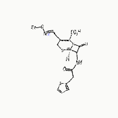 CCO/N=C/C1=C(C(=O)O)N2C(=O)C(NC(=O)Cc3cccs3)[C@H]2SC1